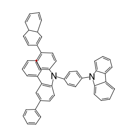 C1=CC2C=CC(c3ccc(N(c4ccc(-n5c6ccccc6c6ccccc65)cc4)c4ccc(-c5ccccc5)cc4-c4ccccc4)cc3)=CC2C=C1